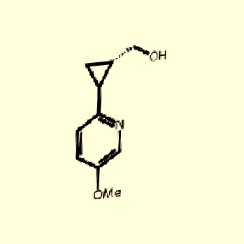 COc1ccc(C2C[C@@H]2CO)nc1